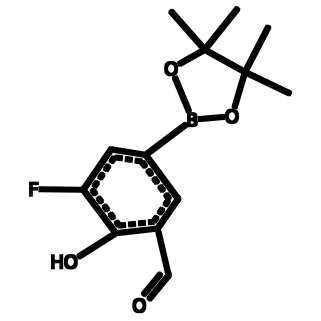 CC1(C)OB(c2cc(F)c(O)c(C=O)c2)OC1(C)C